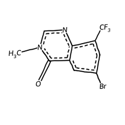 Cn1cnc2c(C(F)(F)F)cc(Br)cc2c1=O